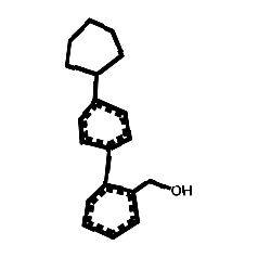 OCc1ccccc1-c1ccc(C2CCCCC2)cc1